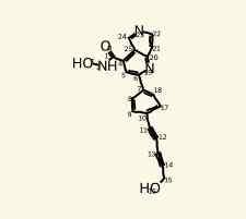 O=C(NO)c1cc(-c2ccc(C#CC#CCO)cc2)nc2ccncc12